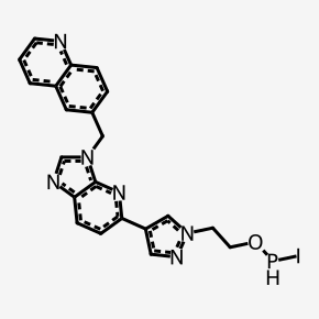 IPOCCn1cc(-c2ccc3ncn(Cc4ccc5ncccc5c4)c3n2)cn1